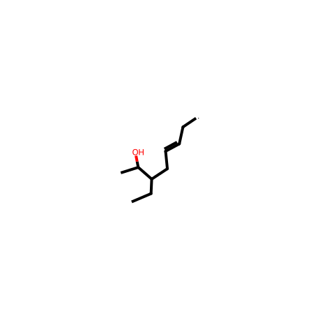 [CH2]C/C=C/CC(CC)C(C)O